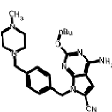 CCCCOc1nc(N)c2cc(C#N)n(Cc3ccc(CN4CCN(C)CC4)cc3)c2n1